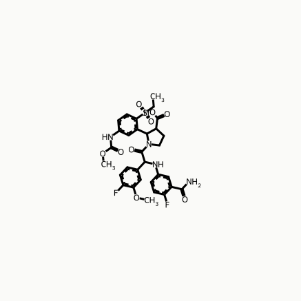 CCS(=O)(=O)c1ccc(NC(=O)OC)cc1C1C(C(=O)O)CCN1C(=O)C(Nc1ccc(F)c(C(N)=O)c1)c1ccc(F)c(OC)c1